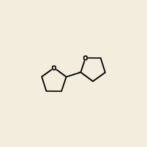 C1CO[C](C2CCCO2)C1